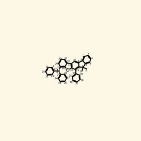 CC1(C)c2ccccc2-c2cc3c(oc4c(N(c5ccccc5)c5ccccc5)cccc43)c(-c3ccccc3)c21